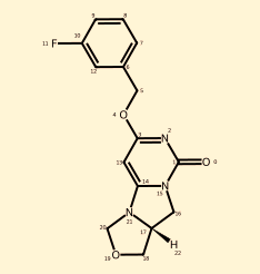 O=c1nc(OCc2cccc(F)c2)cc2n1C[C@@H]1COCN21